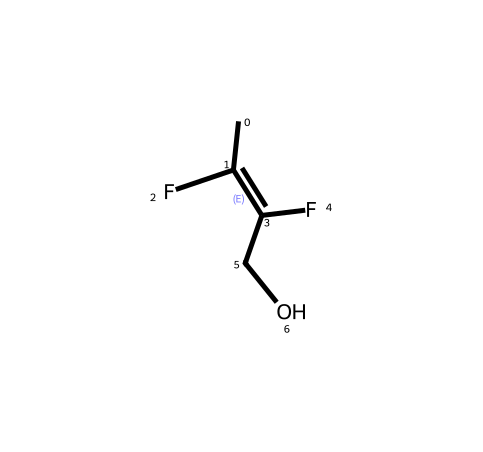 C/C(F)=C(\F)CO